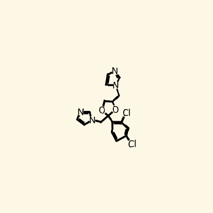 Clc1ccc(C2(Cn3ccnc3)OCC(Cn3ccnc3)O2)c(Cl)c1